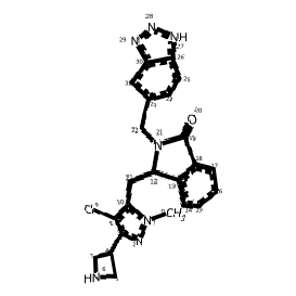 Cn1nc(C2CNC2)c(Cl)c1CC1c2ccccc2C(=O)N1Cc1ccc2[nH]nnc2c1